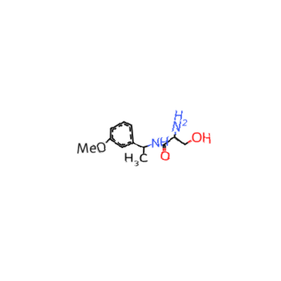 COc1cccc(C(C)NC(=O)C(N)CO)c1